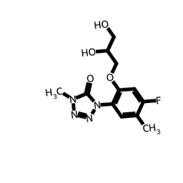 Cc1cc(-n2nnn(C)c2=O)c(OCC(O)CO)cc1F